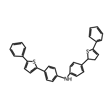 C1=C(c2ccccc2)SC(c2ccc(Nc3ccc(-c4ccc(-c5ccccc5)s4)cc3)cc2)C1